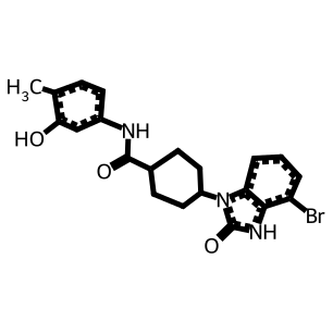 Cc1ccc(NC(=O)C2CCC(n3c(=O)[nH]c4c(Br)cccc43)CC2)cc1O